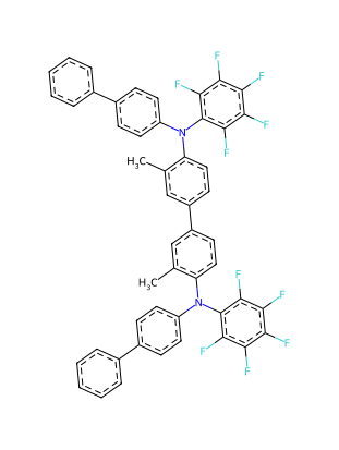 Cc1cc(-c2ccc(N(c3ccc(-c4ccccc4)cc3)c3c(F)c(F)c(F)c(F)c3F)c(C)c2)ccc1N(c1ccc(-c2ccccc2)cc1)c1c(F)c(F)c(F)c(F)c1F